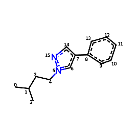 CC(C)CCn1cc(-c2[c]cccc2)cn1